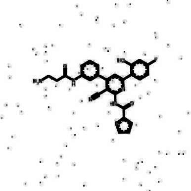 N#Cc1c(-c2cccc(NC(=O)CCN)c2)cc(-c2ccc(F)cc2O)nc1NC(=O)c1cccs1